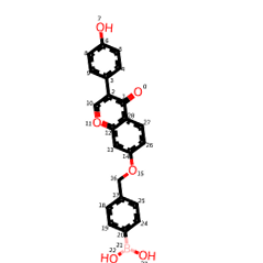 O=c1c(-c2ccc(O)cc2)coc2cc(OCc3ccc(B(O)O)cc3)ccc12